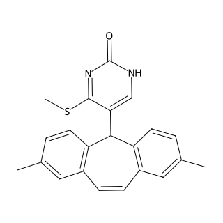 CSc1nc(=O)[nH]cc1C1c2ccc(C)cc2C=Cc2cc(C)ccc21